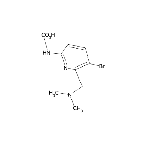 CN(C)Cc1nc(NC(=O)O)ccc1Br